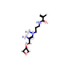 C=C(C)C(=O)NCCCN(N)/C=C(\N)COC1COC1